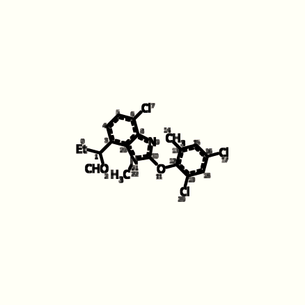 CCC(C=O)c1ccc(Cl)c2nc(Oc3c(C)cc(Cl)cc3Cl)n(C)c12